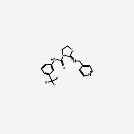 FC(F)(F)c1cccc(NC(=S)N2CCS/C2=N\Cc2ccncc2)c1